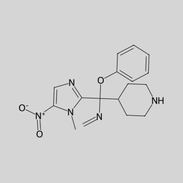 C=NC(Oc1ccccc1)(c1ncc([N+](=O)[O-])n1C)C1CCNCC1